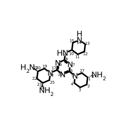 N[C@@H]1CCCN(c2nc(NC3CCCNC3)nc(N3C[C@H](N)C[C@H](N)C3)n2)C1